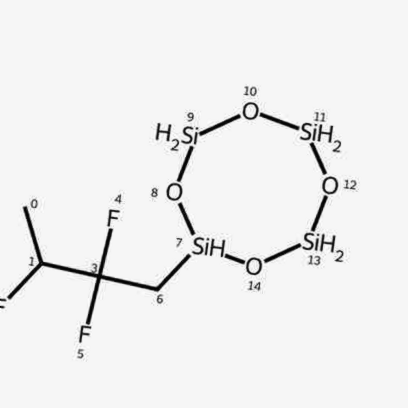 CC(F)C(F)(F)C[SiH]1O[SiH2]O[SiH2]O[SiH2]O1